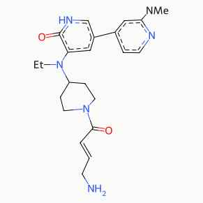 CCN(c1cc(-c2ccnc(NC)c2)c[nH]c1=O)C1CCN(C(=O)C=CCN)CC1